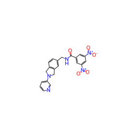 O=C(NCc1ccc2c(c1)CN(c1cccnc1)C2)c1cc([N+](=O)[O-])cc([N+](=O)[O-])c1